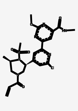 C=CC(=O)N1C[C@@H](C)N(S(C)(=O)=O)[C@H](c2cc(Cl)nc(-c3cc(C(=O)NC)nc(OC)n3)c2)C1